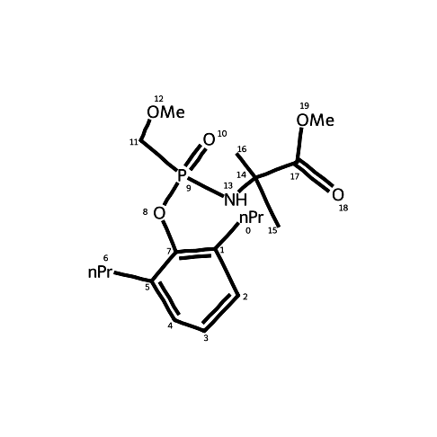 CCCc1cccc(CCC)c1OP(=O)(COC)NC(C)(C)C(=O)OC